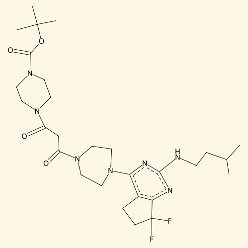 CC(C)CCNc1nc(N2CCN(C(=O)CC(=O)N3CCN(C(=O)OC(C)(C)C)CC3)CC2)c2c(n1)C(F)(F)CC2